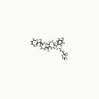 CC\C=C/C(Cl)=C\C=C\C[C@H](/C1=C/C/C=C(C)\C(N(C)C2CCCN(C(C)C3=CCC=CC=C3)CC2)=C/C1)c1ccc(C)cc1